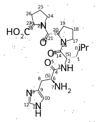 CC(C)C[C@H](NC(=O)[C@@H](N)Cc1c[nH]cn1)C(=O)N1CCC[C@H]1C(=O)N1CCC[C@H]1C(=O)O